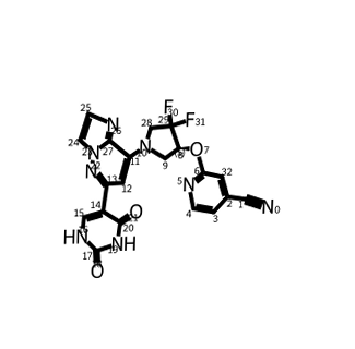 N#Cc1ccnc(O[C@H]2CN(c3cc(-c4c[nH]c(=O)[nH]c4=O)nn4ccnc34)CC2(F)F)c1